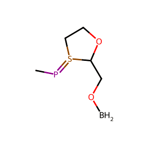 BOCC1OCCS1=PC